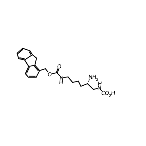 N[C@@H](CCCCNC(=O)OCc1cccc2c1Cc1ccccc1-2)CNC(=O)O